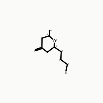 C=C1CC(C)OC(CCCC)C1